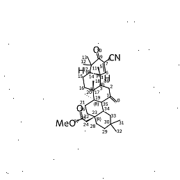 C=C1C[C@@H]2[C@@]3(C)C=C(C#N)C(=O)C(C)(C)[C@@H]3CC[C@@]2(C)[C@]2(C)CC[C@@]3(CC(=O)OC)CCC(C)(C)CC3C12